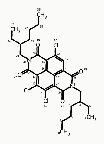 CCCCC(CC)CN1C(=O)c2cc(Cl)c3c4c(c(Cl)c(Cl)c(c24)C1=O)C(=O)N(CC(CC)CCCC)C3=O